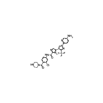 Cn1c(-c2cn(-c3ccc(N)cn3)nc2C(F)(F)F)cnc1C(=O)Nc1ccc(C(=O)N2CCNCC2)c(Cl)c1